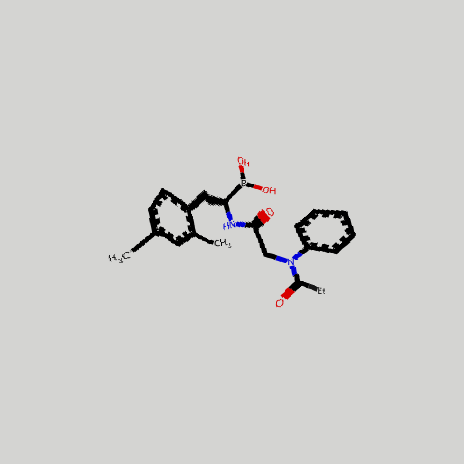 CCC(=O)N(CC(=O)NC(Cc1ccc(C)cc1C)B(O)O)c1ccccc1